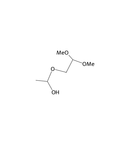 COC(COC(C)O)OC